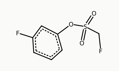 O=S(=O)(CF)Oc1cccc(F)c1